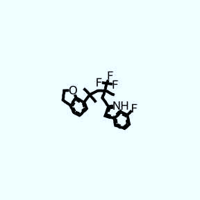 CC(C)(CC(C)(Cc1cc2cccc(F)c2[nH]1)C(F)(F)F)c1cccc2c1OCC2